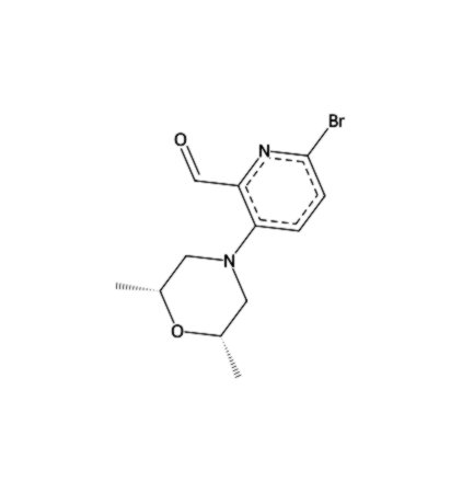 C[C@@H]1CN(c2ccc(Br)nc2C=O)C[C@H](C)O1